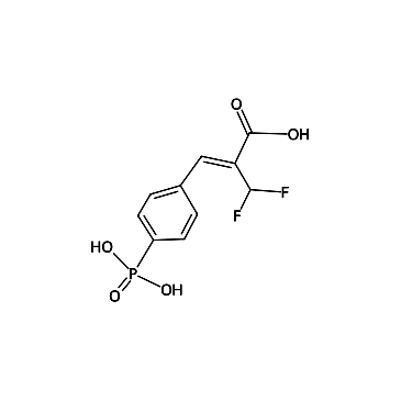 O=C(O)C(=Cc1ccc(P(=O)(O)O)cc1)C(F)F